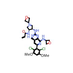 C=CC(=O)N[C@H]1CN(C2COC2)C[C@H]1Nc1ncc2cc(-c3c(Cl)c(OC)cc(OC)c3Cl)nc(NC3COC3)c2n1